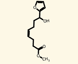 COC(=O)CC/C=C\CCC(O)c1ccco1